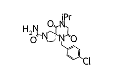 CC(C)N1CC(=O)N(Cc2ccc(Cl)cc2)[C@]2(CCN(C(N)=O)C2)C1=O